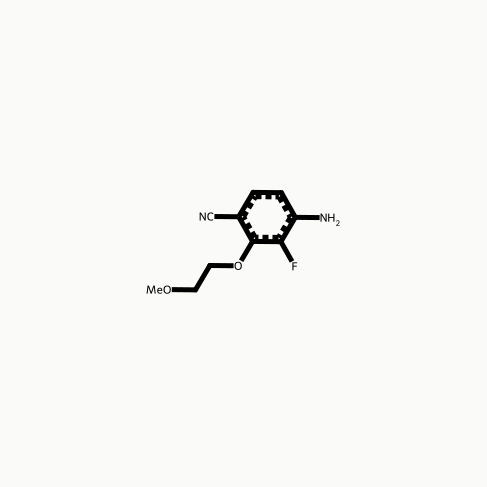 COCCOc1c(C#N)ccc(N)c1F